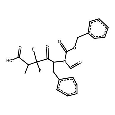 CC(C(=O)O)C(F)(F)C(=O)C(Cc1ccccc1)N(C=O)C(=O)OCc1ccccc1